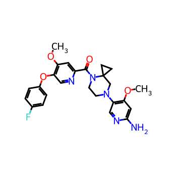 COc1cc(C(=O)N2CCN(c3cnc(N)cc3OC)CC23CC3)ncc1Oc1ccc(F)cc1